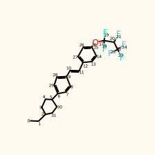 CCC1CCC(c2ccc(/C=C/c3ccc(OC(F)(F)C(F)C(F)(F)F)cc3)cc2)CC1